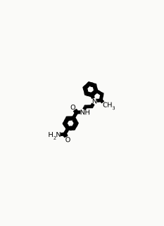 CC1Cc2ccccc2N1CCNC(=O)c1ccc(C(N)=O)cc1